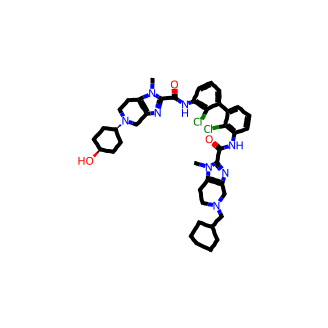 Cn1c(C(=O)Nc2cccc(-c3cccc(NC(=O)c4nc5c(n4C)CCN([C@H]4CC[C@H](O)CC4)C5)c3Cl)c2Cl)nc2c1CCN(CC1CCCCC1)C2